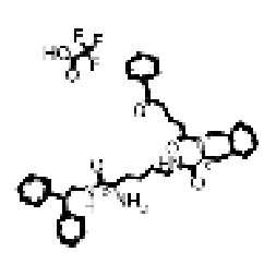 N[C@@H](CCCCNC(=O)[C@@H]1Cc2ccccc2CN1C(=O)CCCC(=O)c1ccccc1)C(=O)NCC(c1ccccc1)c1ccccc1.O=C(O)C(F)(F)F